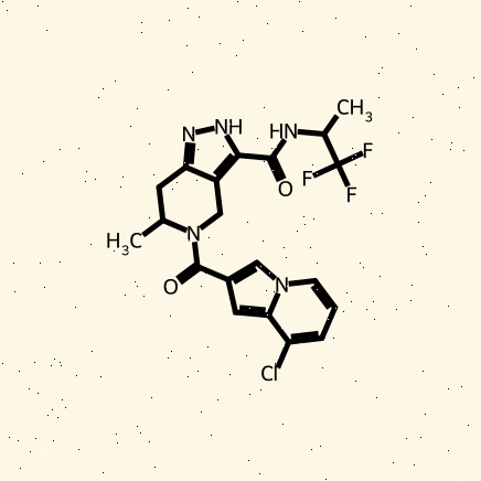 CC1Cc2n[nH]c(C(=O)NC(C)C(F)(F)F)c2CN1C(=O)c1cc2c(Cl)cccn2c1